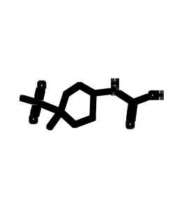 CC1(S(C)(=O)=O)CCC(NC(=O)O)CC1